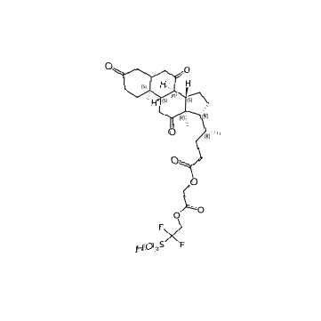 C[C@H](CCC(=O)OCC(=O)OCC(F)(F)S(=O)(=O)O)[C@H]1CC[C@H]2[C@@H]3C(=O)CC4CC(=O)CC[C@]4(C)[C@H]3CC(=O)[C@]12C